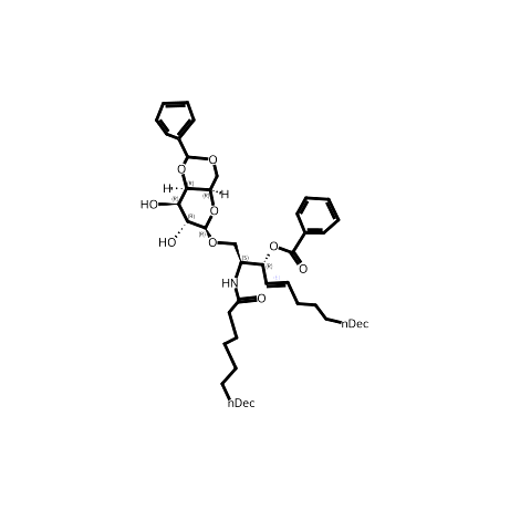 CCCCCCCCCCCCC/C=C/[C@@H](OC(=O)c1ccccc1)[C@H](CO[C@@H]1O[C@@H]2COC(c3ccccc3)O[C@@H]2[C@H](O)[C@H]1O)NC(=O)CCCCCCCCCCCCCCC